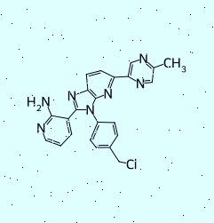 Cc1cnc(-c2ccc3nc(-c4cccnc4N)n(-c4ccc(CCl)cc4)c3n2)cn1